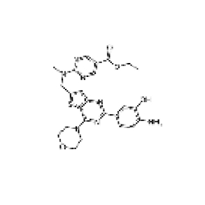 CCOC(=O)c1cnc(N(C)Cc2cc3nc(-c4ccc(N)c(O)c4)nc(N4CCOCC4)c3s2)nc1